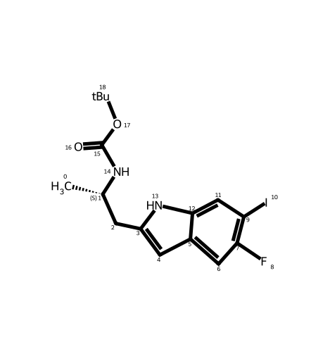 C[C@@H](Cc1cc2cc(F)c(I)cc2[nH]1)NC(=O)OC(C)(C)C